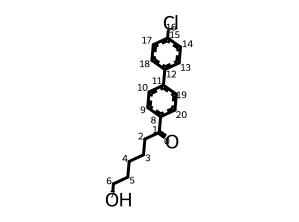 O=C(CCCCCO)c1ccc(-c2ccc(Cl)cc2)cc1